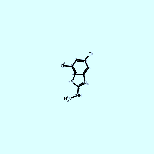 NNc1nc2cc(Cl)cc(Cl)c2s1